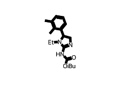 CCN1C(NC(=O)OCC(C)C)=NCC1c1cccc(C)c1C